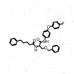 O=C(CCCCc1ccccc1)NC(COCc1ccccc1)C(=O)Nc1ccc(Oc2ccc(F)cc2)cc1